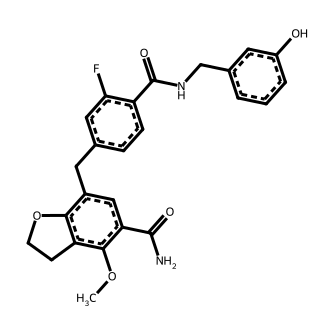 COc1c(C(N)=O)cc(Cc2ccc(C(=O)NCc3cccc(O)c3)c(F)c2)c2c1CCO2